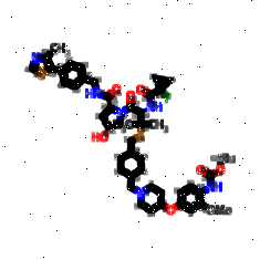 COc1cc(OC2CCN(CC3CCC(CSC(C)(C)[C@@H](NC(=O)C4(F)CC4)C(=O)N4C[C@H](O)C[C@H]4C(=O)NCc4ccc(-c5scnc5C)cc4)CC3)CC2)ccc1NC(=O)OC(C)(C)C